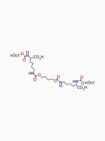 CCCCCCCCOC(=O)NC(CCCCNC(=O)OCCCCOC(=O)NCCCCC(NC(=O)OCCCCCCCC)C(=O)O)C(=O)O